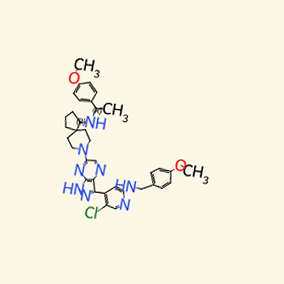 COc1ccc(CNc2cc(-c3n[nH]c4nc(N5CCC6(CCC[C@H]6N[C@H](C)c6ccc(OC)cc6)CC5)cnc34)c(Cl)cn2)cc1